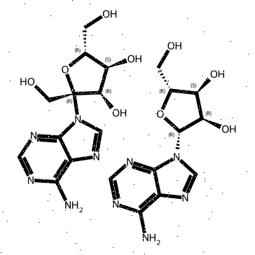 Nc1ncnc2c1ncn2[C@@H]1O[C@H](CO)[C@@H](O)[C@H]1O.Nc1ncnc2c1ncn2[C@]1(CO)O[C@H](CO)[C@@H](O)[C@H]1O